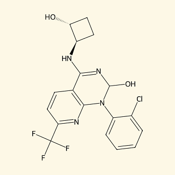 OC1N=C(N[C@@H]2CC[C@H]2O)c2ccc(C(F)(F)F)nc2N1c1ccccc1Cl